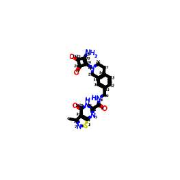 Cc1nsc2nc(C(=O)NCc3ccc4c(c3)CN(c3c(N)c(=O)c3=O)CC4)[nH]c(=O)c12